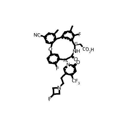 Cc1cc2cc(c1F)[C@@H](CC(=O)O)NC(=O)[C@H](n1cc(CCN3CC(F)C3)c(C(F)(F)F)cc1=O)c1cc(ccc1F)Oc1cc(C#N)cc(C)c1-2